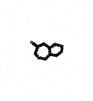 O=c1cncc2ccccc2c1